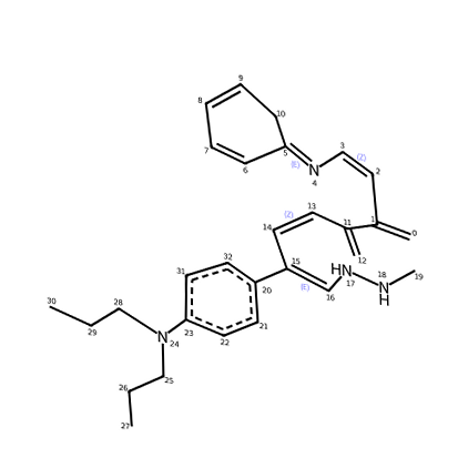 C=C(/C=C\N=C1\C=CC=CC1)C(=C)/C=C\C(=C/NNC)c1ccc(N(CCC)CCC)cc1